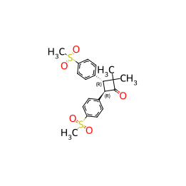 CC1(C)C(=O)[C@@H](c2ccc(S(C)(=O)=O)cc2)[C@@H]1c1ccc(S(C)(=O)=O)cc1